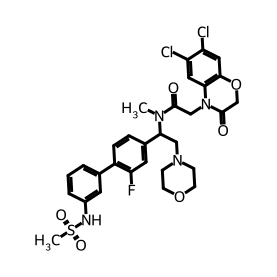 CN(C(=O)CN1C(=O)COc2cc(Cl)c(Cl)cc21)C(CN1CCOCC1)c1ccc(-c2cccc(NS(C)(=O)=O)c2)c(F)c1